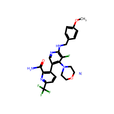 COc1ccc(CNc2ncc(-c3ccc(C(F)(F)F)nc3C(N)=O)c(N3CCOCC3)c2F)cc1.[N]